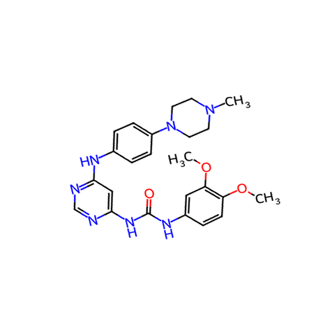 COc1ccc(NC(=O)Nc2cc(Nc3ccc(N4CCN(C)CC4)cc3)ncn2)cc1OC